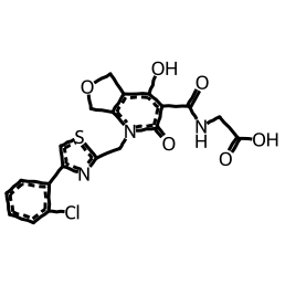 O=C(O)CNC(=O)c1c(O)c2c(n(Cc3nc(-c4ccccc4Cl)cs3)c1=O)COC2